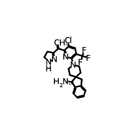 C=C(C1=NNCC1)c1nc(N2CCC3(CC2)Cc2ccccc2[C@H]3N)c(C(F)(F)F)cc1Cl